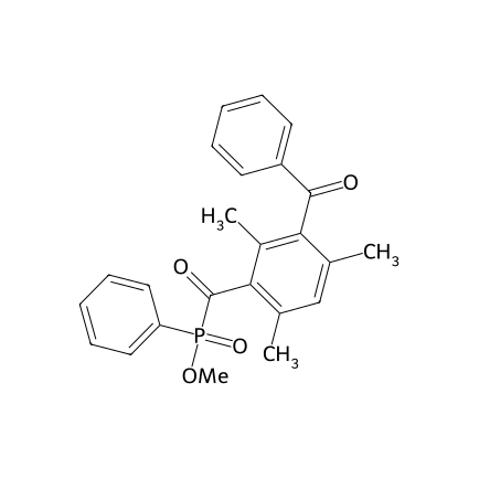 COP(=O)(C(=O)c1c(C)cc(C)c(C(=O)c2ccccc2)c1C)c1ccccc1